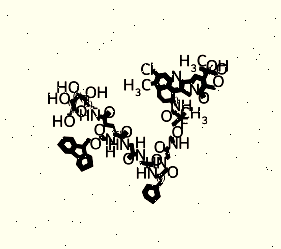 CC[C@@]1(O)C(=O)OCc2c1cc1n(c2=O)Cc2c-1nc1cc(Cl)c(C)c3c1c2[C@@H](NC(=O)C(C)(F)COCNC(=O)CNC(=O)[C@H](Cc1ccccc1)NC(=O)CNC(=O)CNC(=O)[C@H](CCC(=O)NC[C@@H]1O[C@H](CO)[C@@H](O)[C@H](O)[C@H]1O)NC(=O)OCC1c2ccccc2-c2ccccc21)CC3